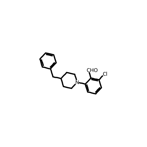 O=Cc1c(Cl)cccc1N1CCC(Cc2ccccc2)CC1